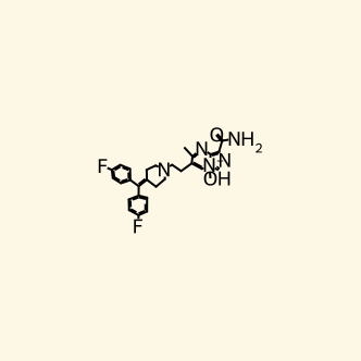 CC1=NC2=C(C(N)=O)N=C[N+]2(O)C=C1CCN1CCC(=C(c2ccc(F)cc2)c2ccc(F)cc2)CC1